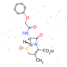 CC1=C(C(=O)O)N2C(=O)[C@@H](NC(=O)COc3ccccc3)[C@H]2[S+]([O-])C1